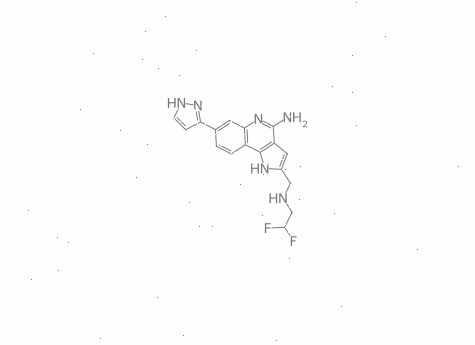 Nc1nc2cc(-c3cc[nH]n3)ccc2c2[nH]c(CNCC(F)F)cc12